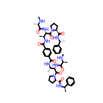 CN[C@@H](C)C(=O)N[C@H](C(=O)N1CCC[C@H]1C(=O)N[C@H](C)c1ccccc1)[C@H](C)NC(=O)c1ccc(C(=O)N[C@@H](C)[C@H](NC(=O)[C@H](C)NC)C(=O)N2CCC[C@H]2C(=O)N[C@H](C)c2ccccc2)cc1